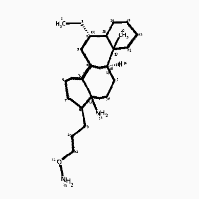 CC[C@H]1CC2C3CCC(CCCON)C3(N)CC[C@@H]2C2(C)CCCCC12